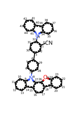 N#Cc1cc(-c2ccc(-n3c4ccccc4c4ccc5c6ccccc6oc5c43)cc2)ccc1-n1c2ccccc2c2ccccc21